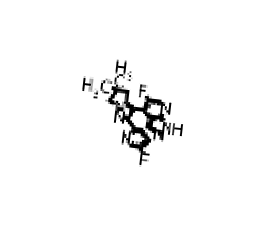 CC1(C)Cc2c(-c3c(F)cnc4[nH]ncc34)c(-c3ccc(F)cn3)nn2C1